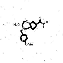 COc1ccc(CN2Cc3ccc(C(=O)NO)cc3OC[C@H]2C)cc1